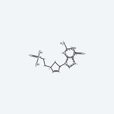 Nc1nc2c(ncn2C2C=CC(CCP(=O)(O)O)C2)c(=O)[nH]1